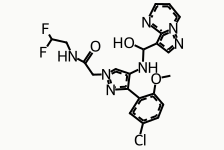 COc1ccc(Cl)cc1-c1nn(CC(=O)NCC(F)F)cc1NC(O)c1cnn2cccnc12